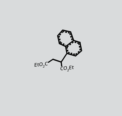 CCOC(=O)CC(C(=O)OCC)c1cccc2ccccc12